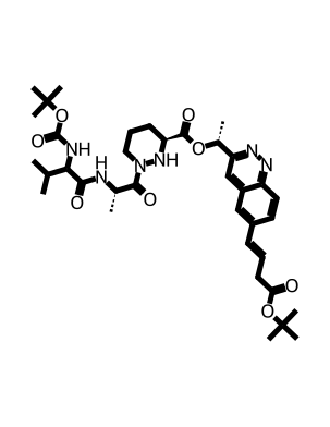 CC(C)C(NC(=O)OC(C)(C)C)C(=O)N[C@@H](C)C(=O)N1CCC[C@@H](C(=O)O[C@H](C)c2cc3cc(/C=C/CC(=O)OC(C)(C)C)ccc3nn2)N1